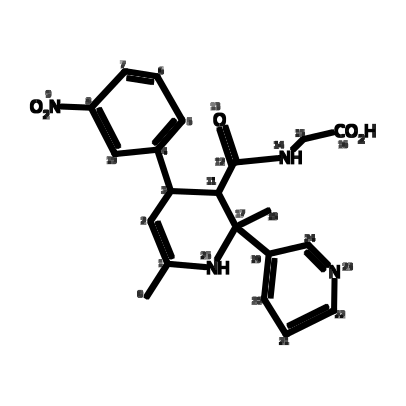 CC1=CC(c2cccc([N+](=O)[O-])c2)C(C(=O)NCC(=O)O)C(C)(c2cccnc2)N1